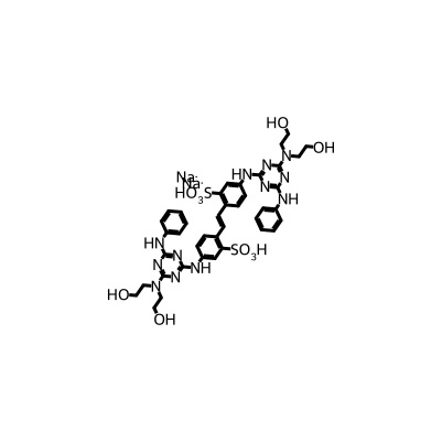 O=S(=O)(O)c1cc(Nc2nc(Nc3ccccc3)nc(N(CCO)CCO)n2)ccc1C=Cc1ccc(Nc2nc(Nc3ccccc3)nc(N(CCO)CCO)n2)cc1S(=O)(=O)O.[Na].[Na]